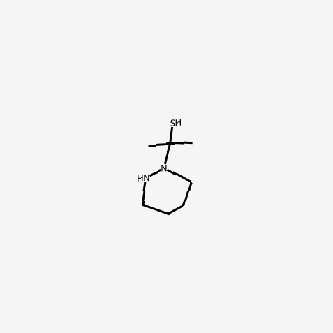 CC(C)(S)N1CCCCN1